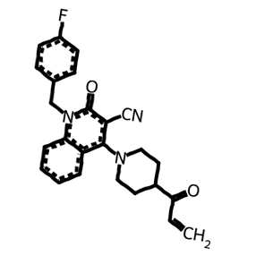 C=CC(=O)C1CCN(c2c(C#N)c(=O)n(Cc3ccc(F)cc3)c3ccccc23)CC1